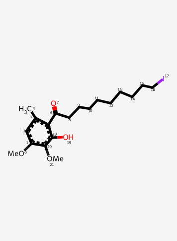 COc1cc(C)c(C(=O)CCCCCCCCCI)c(O)c1OC